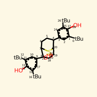 CC(C)(C)c1cc(C2CCC3C(c4cc(C(C)(C)C)c(O)c(C(C)(C)C)c4)CCC2S3(=O)=O)cc(C(C)(C)C)c1O